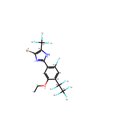 CCOc1cc(-c2nc(Br)c(C(F)(F)F)[nH]2)c(F)cc1C(F)(F)C(F)(F)F